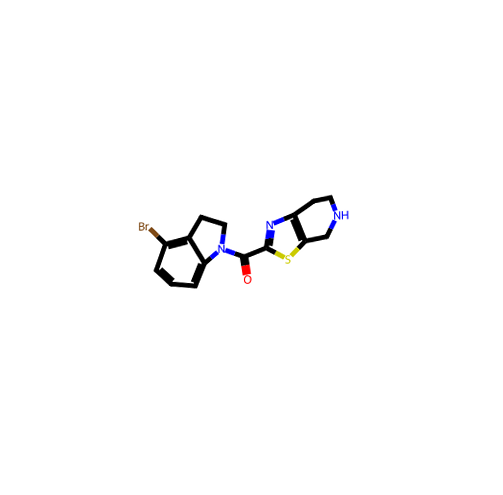 O=C(c1nc2c(s1)CNCC2)N1CCc2c(Br)cccc21